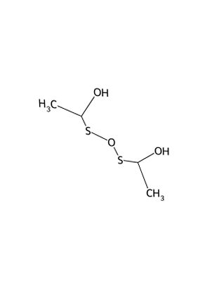 CC(O)SOSC(C)O